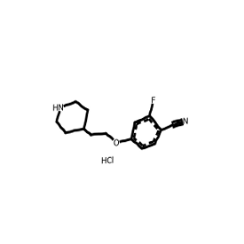 Cl.N#Cc1ccc(OCCC2CCNCC2)cc1F